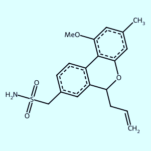 C=CCC1Oc2cc(C)cc(OC)c2-c2ccc(CS(N)(=O)=O)cc21